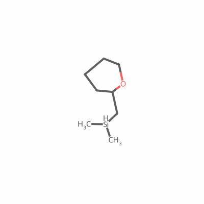 C[SiH](C)CC1CCCCO1